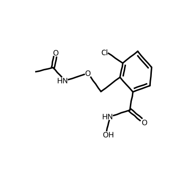 CC(=O)NOCc1c(Cl)cccc1C(=O)NO